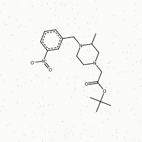 CC1CN(CC(=O)OC(C)(C)C)CCN1Cc1cccc([N+](=O)[O-])c1